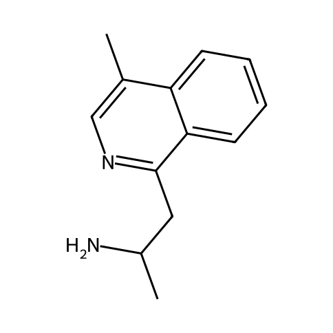 Cc1cnc(CC(C)N)c2ccccc12